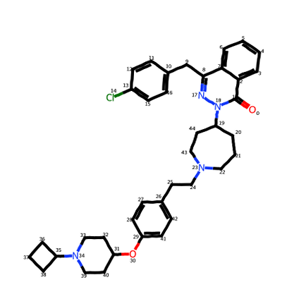 O=c1c2ccccc2c(Cc2ccc(Cl)cc2)nn1C1CCCN(CCc2ccc(OC3CCN(C4CCC4)CC3)cc2)CC1